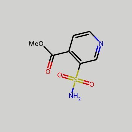 COC(=O)c1ccncc1S(N)(=O)=O